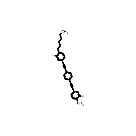 CCCCCCc1ccc(C#Cc2ccc(C#Cc3ccc(C)c(F)c3)cc2)cc1F